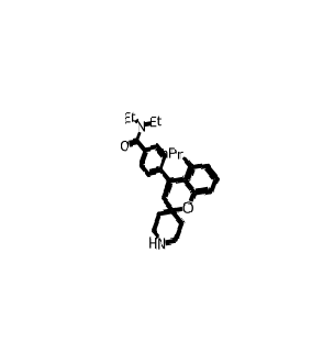 CCCc1cccc2c1C(c1ccc(C(=O)N(CC)CC)cc1)=CC1(CCNCC1)O2